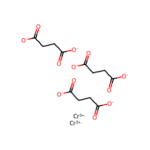 O=C([O-])CCC(=O)[O-].O=C([O-])CCC(=O)[O-].O=C([O-])CCC(=O)[O-].[Cr+3].[Cr+3]